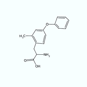 Cc1cc(Oc2ccccc2)ccc1CC(N)C(=O)O